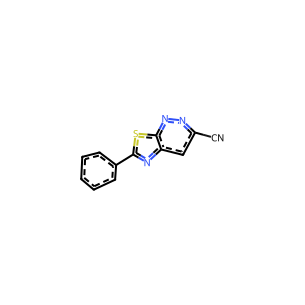 N#Cc1cc2nc(-c3ccccc3)sc2nn1